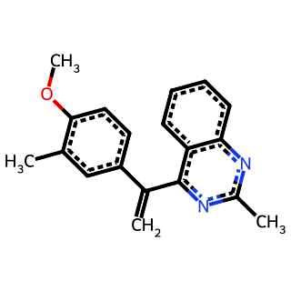 C=C(c1ccc(OC)c(C)c1)c1nc(C)nc2ccccc12